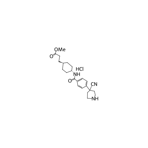 COC(=O)CC[C@H]1CC[C@H](NC(=O)c2ccc(C3(C#N)CCNCC3)cc2)CC1.Cl